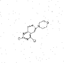 Clc1nc(Cl)c2cc(N3CCOCC3)ccc2n1